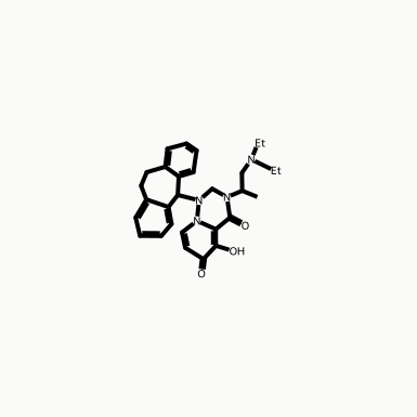 CCN(CC)CC(C)N1CN(C2c3ccccc3CCc3ccccc32)n2ccc(=O)c(O)c2C1=O